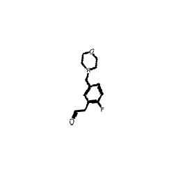 O=CCc1cc(CN2CCOCC2)ccc1F